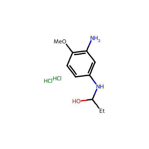 CCC(O)Nc1ccc(OC)c(N)c1.Cl.Cl